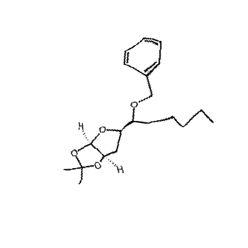 CCCCCC(OCc1ccccc1)[C@H]1C[C@H]2OC(C)(C)O[C@H]2O1